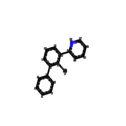 CCc1c(-c2ccccc2)cccc1-c1ccccn1